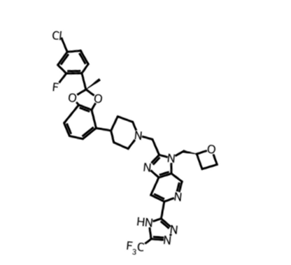 C[C@]1(c2ccc(Cl)cc2F)Oc2cccc(C3CCN(Cc4nc5cc(-c6nnc(C(F)(F)F)[nH]6)ncc5n4C[C@@H]4CCO4)CC3)c2O1